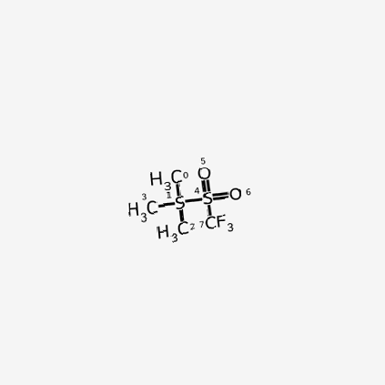 CS(C)(C)S(=O)(=O)C(F)(F)F